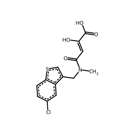 CN(Cc1csc2ccc(Cl)cc12)C(=O)/C=C(\O)C(=O)O